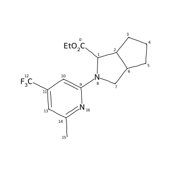 CCOC(=O)C1C2CCCC2CN1c1cc(C(F)(F)F)cc(C)n1